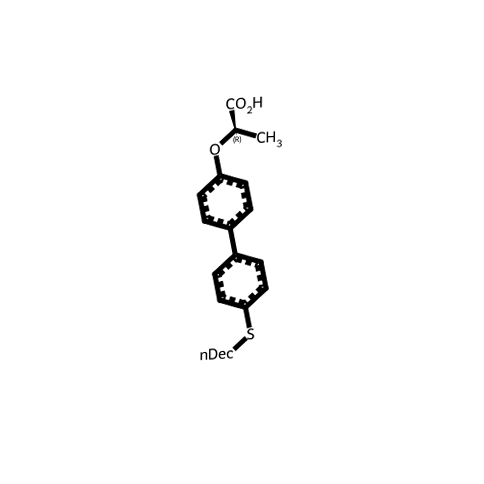 CCCCCCCCCCSc1ccc(-c2ccc(O[C@H](C)C(=O)O)cc2)cc1